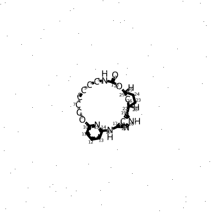 O=C1NCCCCCCOc2cccc(n2)Nc2cc([nH]n2)[C@H]2CC[C@H](C2)O1